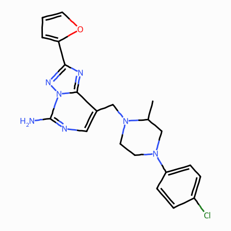 CC1CN(c2ccc(Cl)cc2)CCN1Cc1cnc(N)n2nc(-c3ccco3)nc12